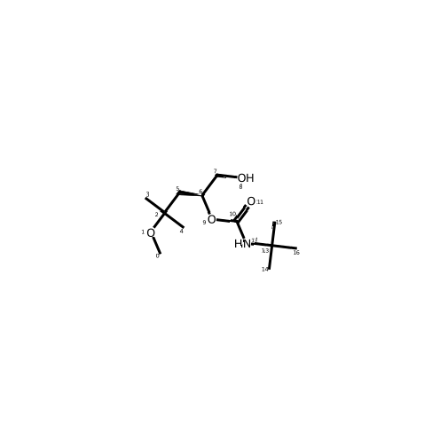 COC(C)(C)C[C@@H](CO)OC(=O)NC(C)(C)C